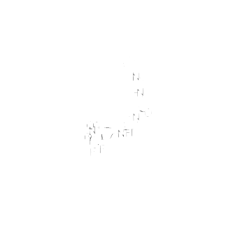 O=C(CCN1CCN(C2CCCCC2)CC1)N1CCC(Nc2ccc([N+](=O)[O-])c(C(F)(F)F)c2)CC1